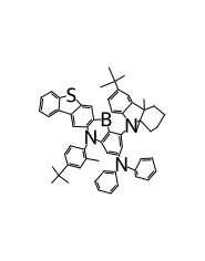 Cc1cc(C(C)(C)C)ccc1N1c2cc3c(cc2B2c4cc(C(C)(C)C)cc5c4N(c4cc(N(c6ccccc6)c6ccccc6)cc1c42)C1(C)CCCCC51C)sc1ccccc13